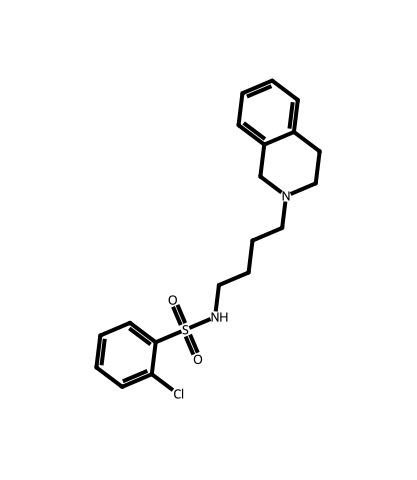 O=S(=O)(NCCCCN1CCc2ccccc2C1)c1ccccc1Cl